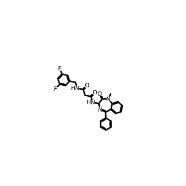 CN1C(=O)C(NC(=O)CC(=O)NCc2cc(F)cc(F)c2)N=C(c2ccccc2)c2ccccc21